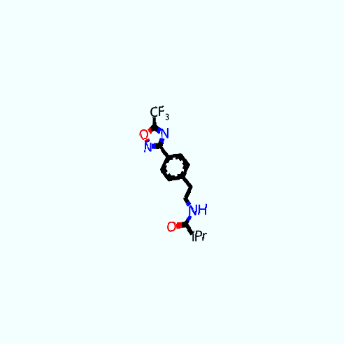 CC(C)C(=O)NCCc1ccc(-c2noc(C(F)(F)F)n2)cc1